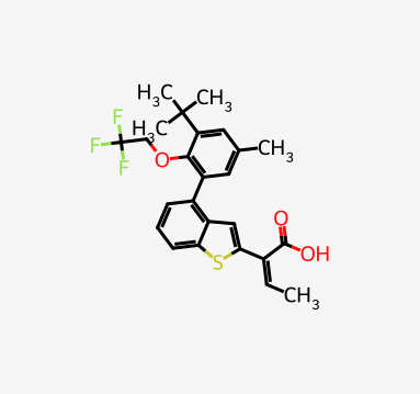 C/C=C(\C(=O)O)c1cc2c(-c3cc(C)cc(C(C)(C)C)c3OCC(F)(F)F)cccc2s1